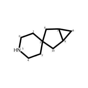 C1CC2(CCN1)CC1CC1C2